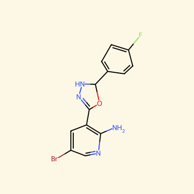 Nc1ncc(Br)cc1C1=NNC(c2ccc(F)cc2)O1